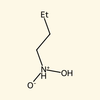 CCCC[NH+]([O-])O